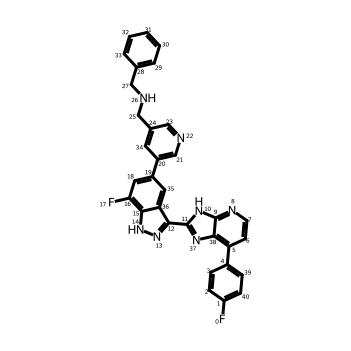 Fc1ccc(-c2ccnc3[nH]c(-c4n[nH]c5c(F)cc(-c6cncc(CNCc7ccccc7)c6)cc45)nc23)cc1